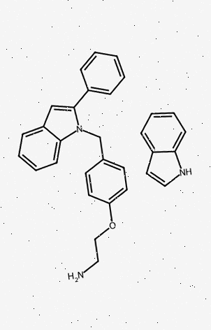 NCCOc1ccc(Cn2c(-c3ccccc3)cc3ccccc32)cc1.c1ccc2[nH]ccc2c1